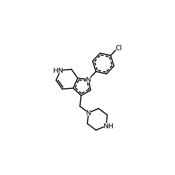 Clc1ccc(-n2cc(CN3CCNCC3)c3c2CNC=C3)cc1